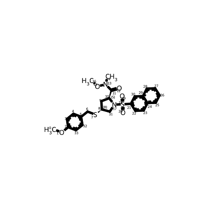 COc1ccc(CS[C@@H]2C[C@@H](C(=O)N(C)OC)N(S(=O)(=O)c3ccc4ccccc4c3)C2)cc1